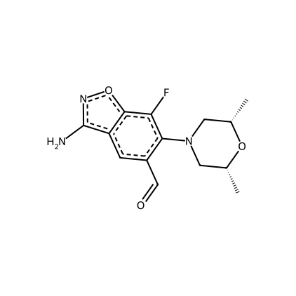 C[C@@H]1CN(c2c(C=O)cc3c(N)noc3c2F)C[C@H](C)O1